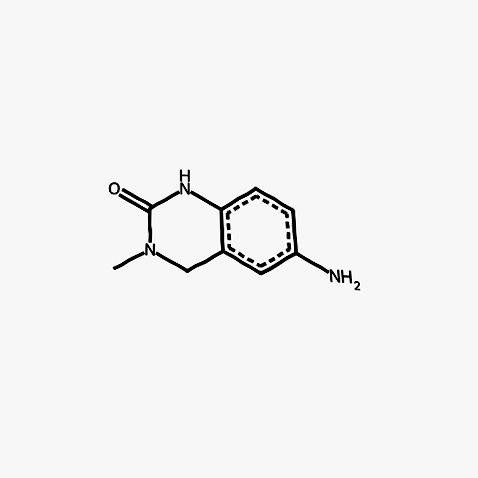 CN1Cc2cc(N)ccc2NC1=O